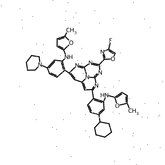 Cc1ccc(Nc2cc(N3CCCCC3)ccc2C2=CC3=CC(c4ccc(C5CCCCC5)cc4Nc4ccc(C)o4)=NC4=NC(c5nc(F)co5)=NC(=N2)N34)o1